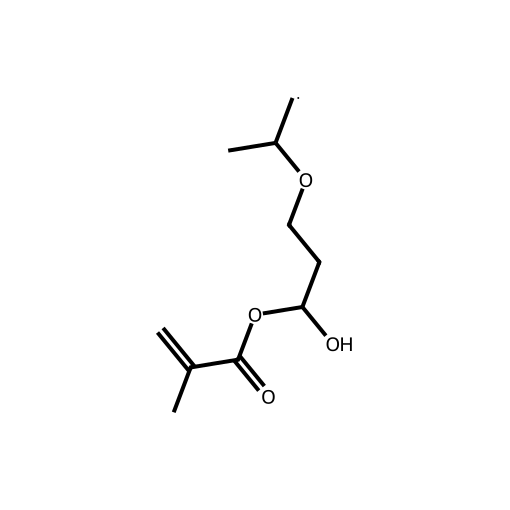 [CH2]C(C)OCCC(O)OC(=O)C(=C)C